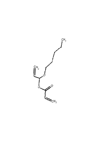 C=CC(=O)OC(C=C)OCCCCC